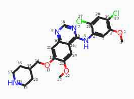 COc1cc(Nc2ncnc3cc(OCC4CCNCC4)c(OC)cc23)c(Cl)cc1Cl